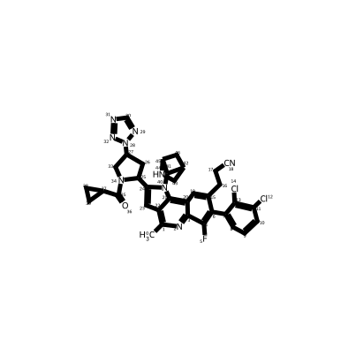 Cc1nc2c(F)c(-c3cccc(Cl)c3Cl)c(CCC#N)cc2c2c1cc(C1CC(n3ncnn3)CN1C(=O)C1CC1)n2C1C2CNC1C2